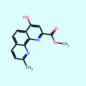 COC(=O)c1cc(O)c2ccc3ccc(C)nc3c2n1